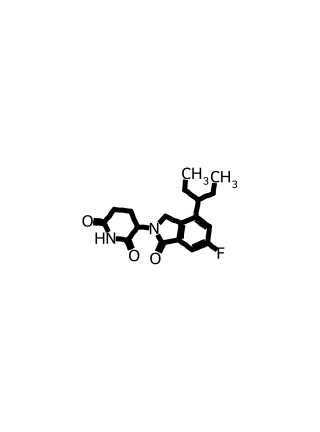 CCC(CC)c1cc(F)cc2c1CN(C1CCC(=O)NC1=O)C2=O